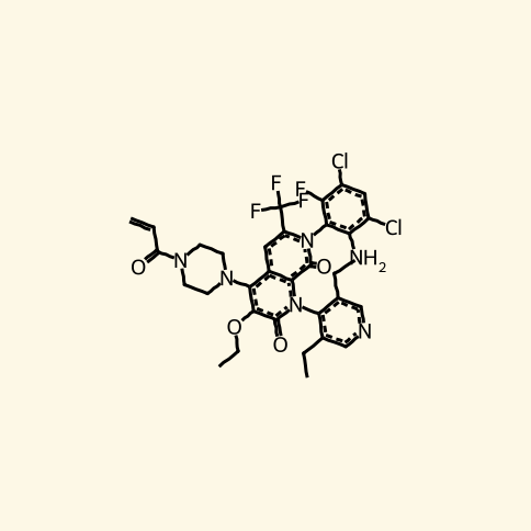 C=CC(=O)N1CCN(c2c(OCC)c(=O)n(-c3c(CC)cncc3CC)c3c(=O)n(-c4c(N)c(Cl)cc(Cl)c4F)c(C(F)(F)F)cc23)CC1